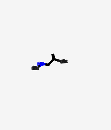 C=C(CNC(C)(C)C)C(C)(C)C